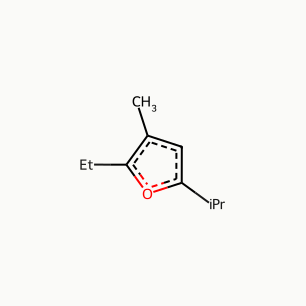 CCc1oc(C(C)C)cc1C